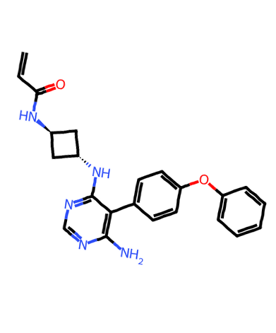 C=CC(=O)N[C@H]1C[C@H](Nc2ncnc(N)c2-c2ccc(Oc3ccccc3)cc2)C1